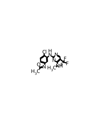 CNc1nc(Nc2cc3nc(C)oc3cc2Cl)ncc1C(F)(F)F